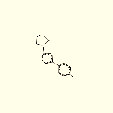 O=CC1OCCN1c1nc(-c2ccc(Br)cc2)cs1